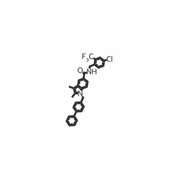 Cc1c(C)n(Cc2ccc(-c3ccccc3)cc2)c2ccc(C(=O)NCc3ccc(Cl)cc3C(F)(F)F)cc12